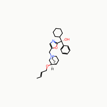 CC=CCO[C@H]1C[N+]2(Cc3cnc([C@](O)(c4ccccc4)C4CCCCC4)o3)CCC1CC2